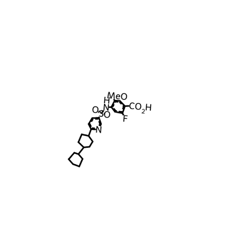 COc1cc(C(=O)O)c(F)cc1NS(=O)(=O)c1ccc(C2CCC(C3CCCCC3)CC2)nc1